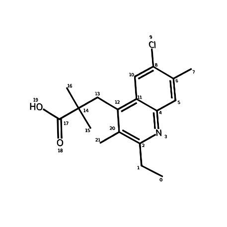 CCc1nc2cc(C)c(Cl)cc2c(CC(C)(C)C(=O)O)c1C